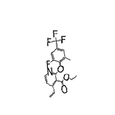 C=Cc1ccnc(Oc2c(C)cc(C(F)(F)F)cc2F)c1C(=O)OCC